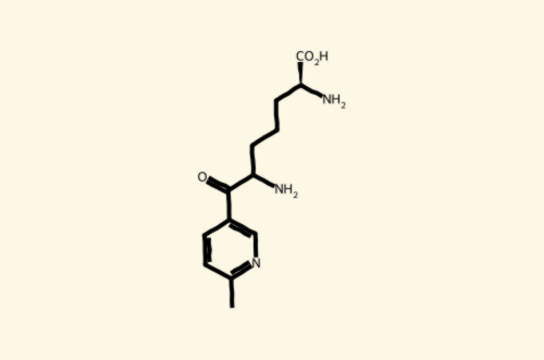 Cc1ccc(C(=O)C(N)CCC[C@H](N)C(=O)O)cn1